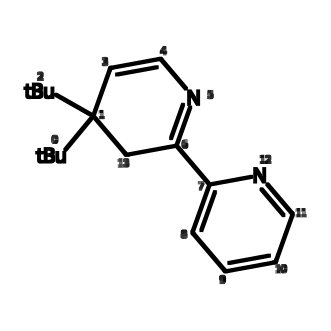 CC(C)(C)C1(C(C)(C)C)C=CN=C(c2ccccn2)C1